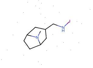 CN1C2CCC1CC(CNI)C2